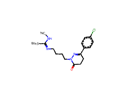 CSC(=NCCCCN1N=C(c2ccc(Cl)cc2)CCC1=O)NC#N